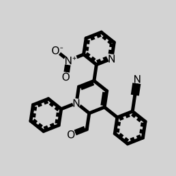 N#Cc1ccccc1C1=CC(c2ncccc2[N+](=O)[O-])=CN(c2ccccc2)C1C=O